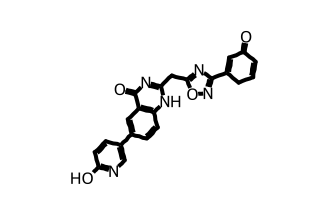 O=C1C=CCC(c2noc(Cc3nc(=O)c4cc(-c5ccc(O)nc5)ccc4[nH]3)n2)=C1